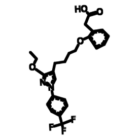 CCOc1nn(-c2ccc(C(F)(F)F)cc2)cc1CCCCOc1ccccc1CC(=O)O